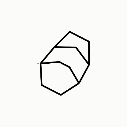 C1CC2CC[C]1C1CCC2C1